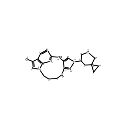 Clc1nn2c3nc(ncc13)Nc1cn(C3COCC4(CC4)C3)nc1OCCC2